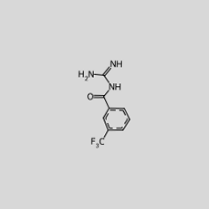 N=C(N)NC(=O)c1cccc(C(F)(F)F)c1